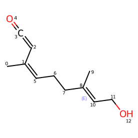 CC(C=C=O)=CCC/C(C)=C/CO